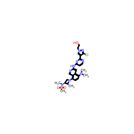 C[C@@H]1[C@@H](N(C)S(C)(=O)=O)CN1c1ccc(N(C)C)c2cc(Nc3ccnc(-c4cn(CCO)nc4Cl)n3)ncc12